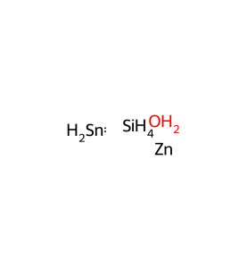 O.[SiH4].[SnH2].[Zn]